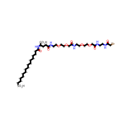 O=C(CBr)NCCNC(=O)COCCOCCNC(=O)COCCOCCNC(=O)CCC(NC(=O)CCCCCCCCCCCCCCCS(=O)(=O)O)C(=O)O